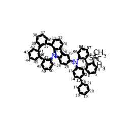 C[Si]1(C)c2ccccc2-c2c(N(c3ccc(-c4ccccc4)cc3)c3ccc4c(c3)c3cccc5c6ccccc6c6ccccc6c6ccccc6n4c53)cccc21